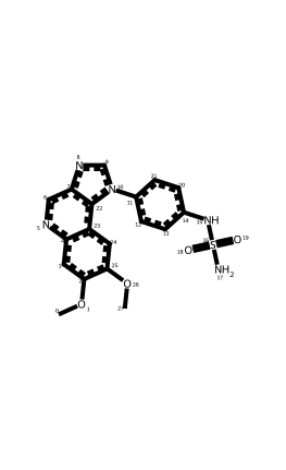 COc1cc2ncc3ncn(-c4ccc(NS(N)(=O)=O)cc4)c3c2cc1OC